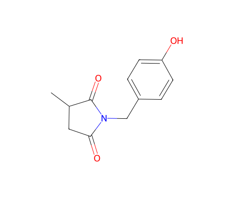 CC1CC(=O)N(Cc2ccc(O)cc2)C1=O